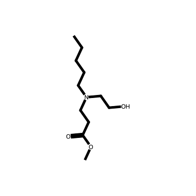 CCCCCN(CCO)CCC(=O)OC